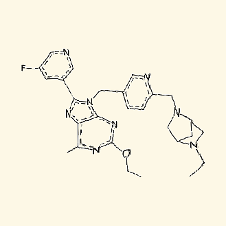 CCOc1nc(C)c2nc(-c3cncc(F)c3)n(Cc3ccc(CN4CC5CC4CN5CC)nc3)c2n1